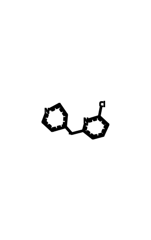 Clc1cccc([CH]c2ccncc2)n1